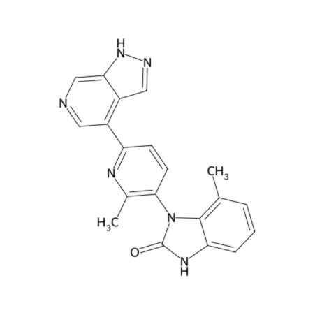 Cc1nc(-c2cncc3[nH]ncc23)ccc1-n1c(=O)[nH]c2cccc(C)c21